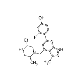 CC[C@@H]1CN(Cc2cc(-c3ccc(O)cc3F)nc3[nH]nc(C)c23)[C@@H](C)CN1